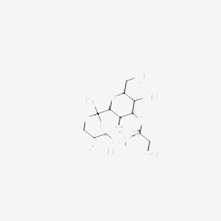 CCC(CC)(O[C@@H](C)[C@H](CO)C(=O)O)C1OC(CO)C(O)C(O[C@H](O)CO)C1NC(C)=O